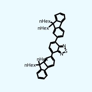 CCCCCCC1(CCCCCC)c2ccccc2-c2ccc(-c3ccc(-c4ccc5c(c4)C(CCCCCC)(CCCCCC)c4ccccc4-5)c4nsnc34)cc21